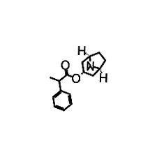 CC(C(=O)O[C@@H]1C[C@H]2CC[C@@H](C1)N2C)c1ccccc1